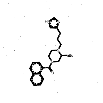 CCCCC1CN(C(=O)c2cccc3ccccc23)CCN1CCCc1c[nH]cn1